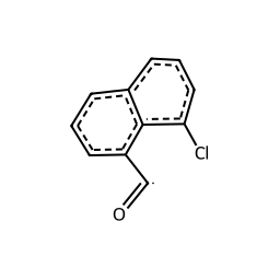 O=[C]c1cccc2cccc(Cl)c12